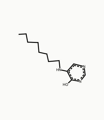 CCCCCCCCNc1cncnc1O